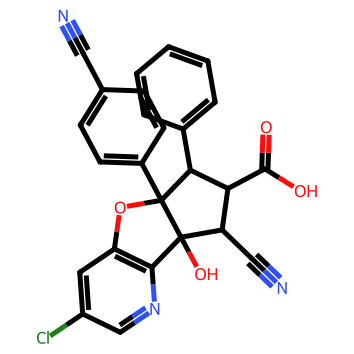 N#Cc1ccc(C23Oc4cc(Cl)cnc4C2(O)C(C#N)C(C(=O)O)C3c2ccccc2)cc1